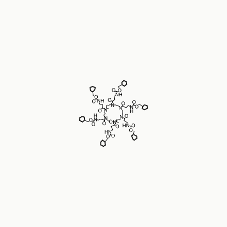 O=C(NCCC(=O)N1CCN(C(=O)CCNC(=O)OCc2ccccc2)CCN(C(=O)CCNC(=O)OCc2ccccc2)CCN(C(=O)CCNC(=O)OCc2ccccc2)CCN(C(=O)CCNC(=O)OCc2ccccc2)CCN(C(=O)CCNC(=O)OCc2ccccc2)CC1)OCc1ccccc1